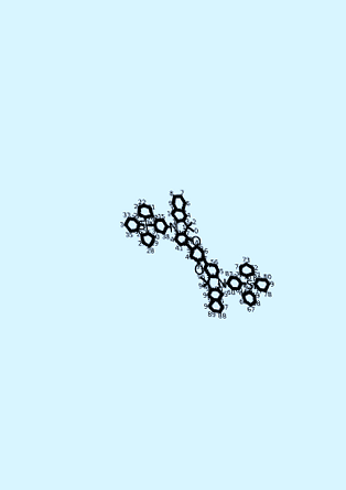 CC1(C)c2cc3ccccc3cc2N(c2ccc([Si](c3ccccc3)(c3ccccc3)c3ccccc3)cc2)c2ccc3c(oc4cc5c(cc43)oc3c4c(ccc35)N(c3ccc([Si](c5ccccc5)(c5ccccc5)c5ccccc5)cc3)c3cc5ccccc5cc3C4(C)C)c21